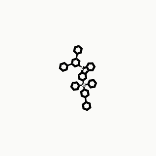 c1ccc(-c2ccc([Si](c3ccccc3)(c3ccccc3)c3ccc4c(c3)c3ccccc3n4-c3cc(-c4ccccc4)cc(-c4ccccc4)c3)cc2)cc1